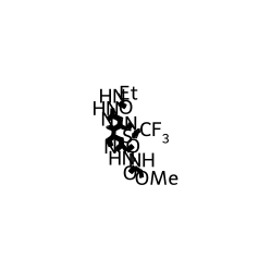 CCNC(=O)Nc1cc(-c2nc(C(F)(F)F)cs2)c(-c2cncc(C(=O)NNC(=O)COC)c2)cn1